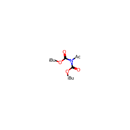 CCC(C)OC(=O)N(C(C)=O)C(=O)OC(C)CC